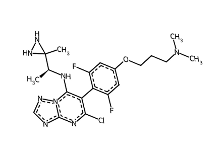 C[C@H](Nc1c(-c2c(F)cc(OCCCN(C)C)cc2F)c(Cl)nc2ncnn12)C1(C)NN1